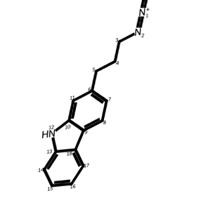 [N-]=[N+]=NCCCc1ccc2c(c1)[nH]c1ccccc12